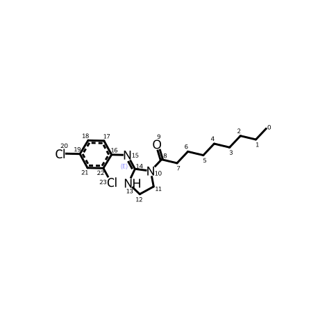 CCCCCCCCC(=O)N1CCN/C1=N\c1ccc(Cl)cc1Cl